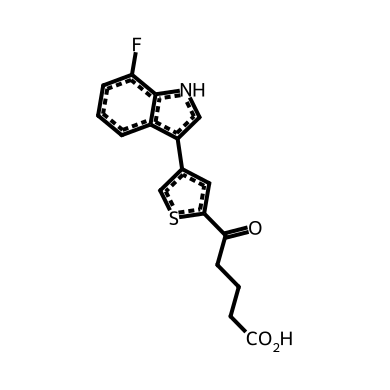 O=C(O)CCCC(=O)c1cc(-c2c[nH]c3c(F)cccc23)cs1